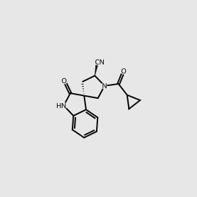 N#C[C@@H]1C[C@@]2(CN1C(=O)C1CC1)C(=O)Nc1ccccc12